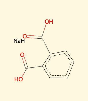 O=C(O)c1ccccc1C(=O)O.[NaH]